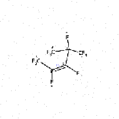 F/C(=C(\F)C(F)(C(F)(F)F)C(F)(F)F)C(F)(F)F